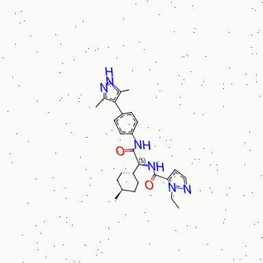 CCn1nccc1C(=O)N[C@H](C(=O)Nc1ccc(-c2c(C)n[nH]c2C)cc1)[C@H]1CC[C@H](C)CC1